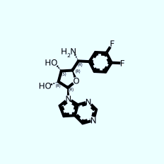 N[C@H](c1ccc(F)c(F)c1)[C@H]1O[C@@H](n2ccc3cncnc32)[C@H](O)[C@@H]1O